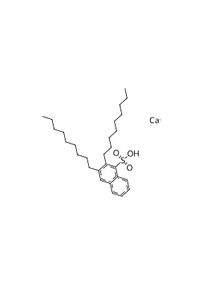 CCCCCCCCCc1cc2ccccc2c(S(=O)(=O)O)c1CCCCCCCCC.[Ca]